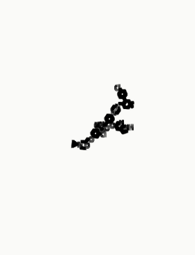 CC1(C)CCC(CN2CCN(c3ccc(C(=O)NS(=O)(=O)c4ccc(OCC5CN(C6CC6)CCO5)cc4Cl)c(Oc4cnc5[nH]ccc5c4)c3)CC2)=C(c2ccc(Cl)cc2)C1